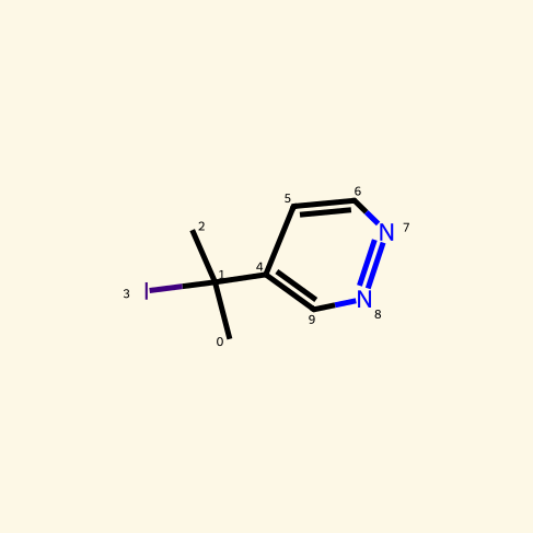 CC(C)(I)c1ccnnc1